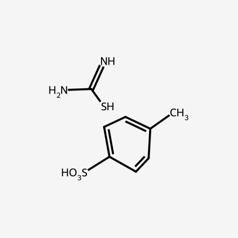 Cc1ccc(S(=O)(=O)O)cc1.N=C(N)S